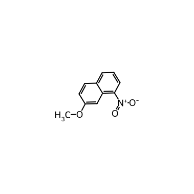 COc1ccc2cccc([N+](=O)[O-])c2c1